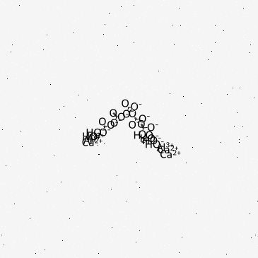 O.O=C([O-])[O-].O=C([O-])[O-].O=C([O-])[O-].O=C([O-])[O-].O=C([O-])[O-].[Al+3].[Al+3].[Al+3].[Ca+2].[Ca+2].[Ca+2].[OH-].[OH-].[OH-].[OH-].[OH-]